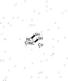 N#CS.N#CS.[Co].[Co]